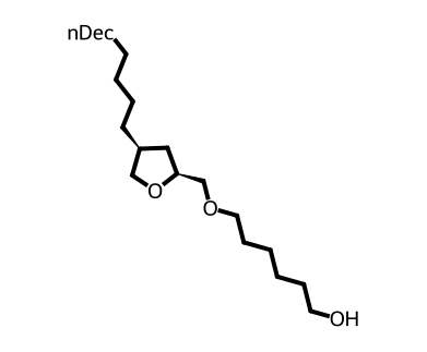 CCCCCCCCCCCCCC[C@@H]1CO[C@H](COCCCCCCO)C1